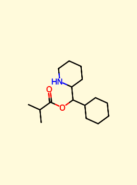 CC(C)C(=O)OC(C1CCCCC1)C1CCCCN1